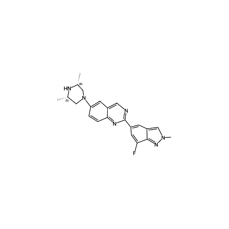 C[C@@H]1CN(c2ccc3nc(-c4cc(F)c5nn(C)cc5c4)ncc3c2)C[C@H](C)N1